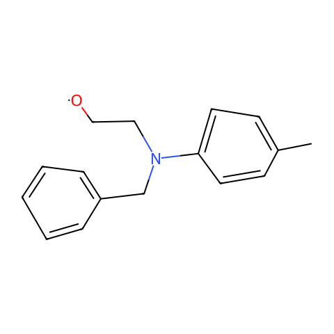 Cc1ccc(N(CC[O])Cc2ccccc2)cc1